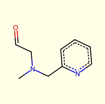 CN(CC=O)Cc1ccccn1